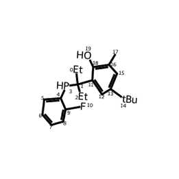 CCC(CC)(Pc1ccccc1F)c1cc(C(C)(C)C)cc(C)c1O